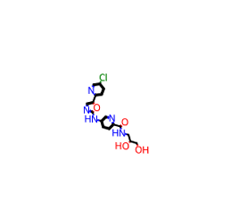 O=C(NCC(O)CO)c1ccc(Nc2ncc(-c3ccc(Cl)cn3)o2)cn1